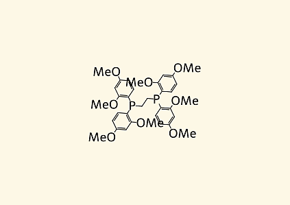 COc1ccc(P(CCP(c2ccc(OC)cc2OC)c2ccc(OC)cc2OC)c2ccc(OC)cc2OC)c(OC)c1